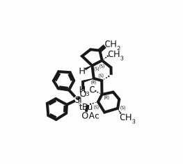 C=C1CC[C@H]2[C@H](CO[Si](c3ccccc3)(c3ccccc3)C(C)(C)C)[C@@H]([C@@]3(C)CC[C@H](C)C[C@@H]3COC(C)=O)CC[C@]12C